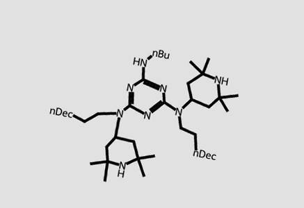 CCCCCCCCCCCCN(c1nc(NCCCC)nc(N(CCCCCCCCCCCC)C2CC(C)(C)NC(C)(C)C2)n1)C1CC(C)(C)NC(C)(C)C1